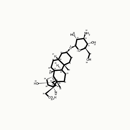 C[C@]12CC[C@H](O[C@@H]3O[C@H](CO)[C@@H](O)[C@H](N)[C@H]3O)C[C@H]1CC[C@@H]1[C@@H]2CC[C@]2(C)[C@@H]3CC[C@]12O[C@@H](O)[C@H]3CC(=O)O